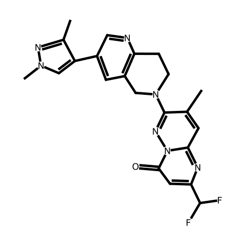 Cc1cc2nc(C(F)F)cc(=O)n2nc1N1CCc2ncc(-c3cn(C)nc3C)cc2C1